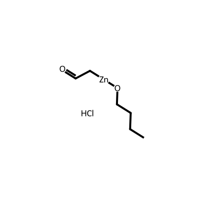 CCCC[O][Zn][CH2]C=O.Cl